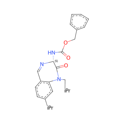 CC(C)CN1C(=O)[C@@H](NC(=O)OCc2ccccc2)N=Cc2ccc(C(C)C)cc21